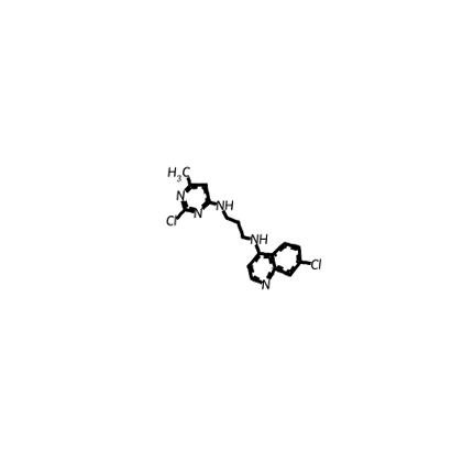 Cc1cc(NCCCNc2ccnc3cc(Cl)ccc23)nc(Cl)n1